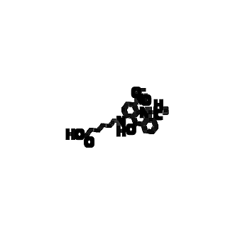 Cc1cccc2c(=O)c3c(NCCCCCC(=O)O)ccc([N+](=O)[O-])c3[nH]c12